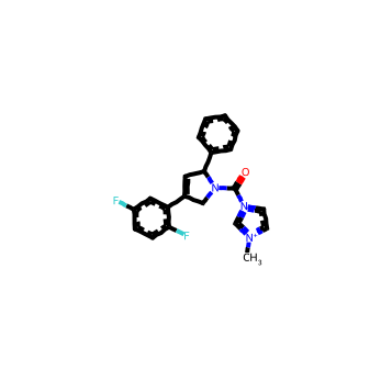 C[n+]1ccn(C(=O)N2CC(c3cc(F)ccc3F)=CC2c2ccccc2)c1